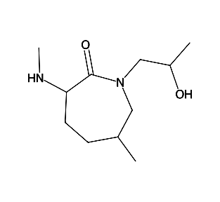 CNC1CCC(C)CN(CC(C)O)C1=O